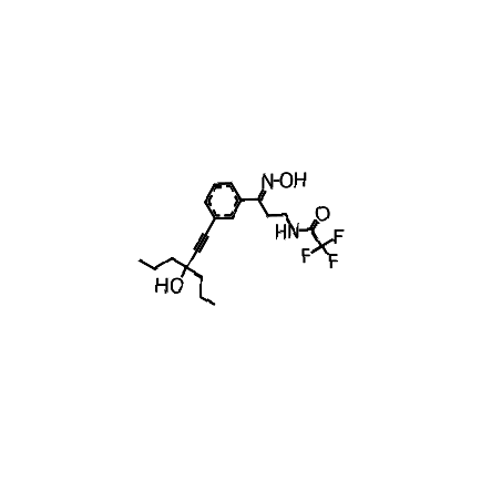 CCCC(O)(C#Cc1cccc(C(CCNC(=O)C(F)(F)F)=NO)c1)CCC